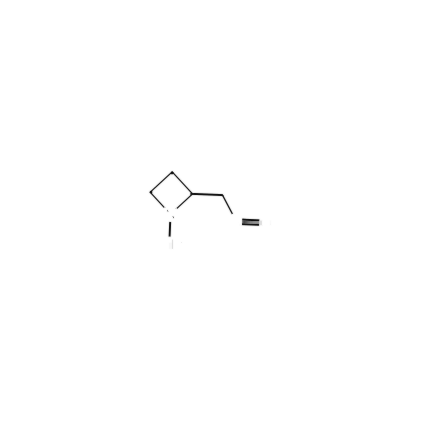 CC(C)N1CCC1C[S+]=O